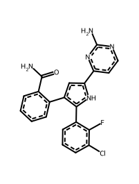 NC(=O)c1ccccc1-c1cc(-c2ccnc(N)n2)[nH]c1-c1cccc(Cl)c1F